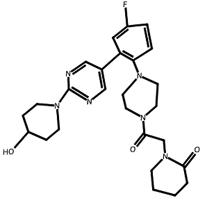 O=C(CN1CCCCC1=O)N1CCN(c2ccc(F)cc2-c2cnc(N3CCC(O)CC3)nc2)CC1